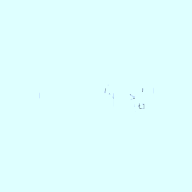 CCCCC[CH]CCCC(=O)NCCC[Si](OC)(OC)OC